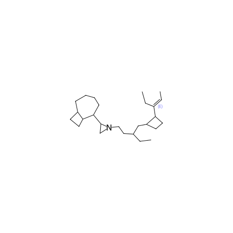 C/C=C(\CC)C1CCC1CC(CC)CCN1CC1C1CCCCC2CCC21